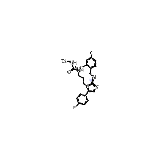 CCNC(=O)NCCCn1c(-c2ccc(F)cc2)cs/c1=N/Cc1ccc(Cl)cc1OC